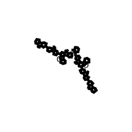 Cc1ccccc1N(c1ccc2c(c1)C(C)(C)c1cc(-c3ccc4c(c3)C(C)(C)c3cc(-c5ccc6c(c5)C(C)(C)c5ccccc5-6)ccc3-4)c3oc4ccccc4c3c1-2)c1ccc2c(c1)C(C)(C)c1cc(-c3ccc4c(c3)C(C)(C)c3cc(-c5ccc6c(c5)C(C)(C)c5ccccc5-6)ccc3-4)c3oc4ccccc4c3c1-2